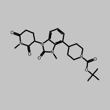 CN1C(=O)CCC(n2c(=O)n(C)c3c(C4CCN(C(=O)OC(C)(C)C)CC4)cccc32)C1=O